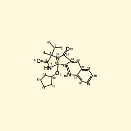 CC(C)C1(C)C(=O)NC2(OC3CCCC3)c3nc4ccccc4cc3C(=O)N21